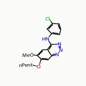 CCCCCOc1cc2nnnc(Nc3cccc(Cl)c3)c2cc1OC